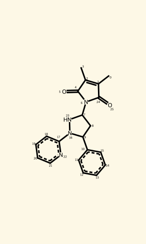 CC1=C(C)C(=O)N(C2CC(c3ccccc3)N(c3ccccn3)N2)C1=O